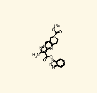 CC(C)(C)OC(=O)N1CCc2nc3c(C(=O)On4nnc5ccccc54)c(N)nn3cc2C1